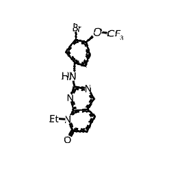 CCn1c(=O)ccc2cnc(Nc3ccc(OC(F)(F)F)c(Br)c3)nc21